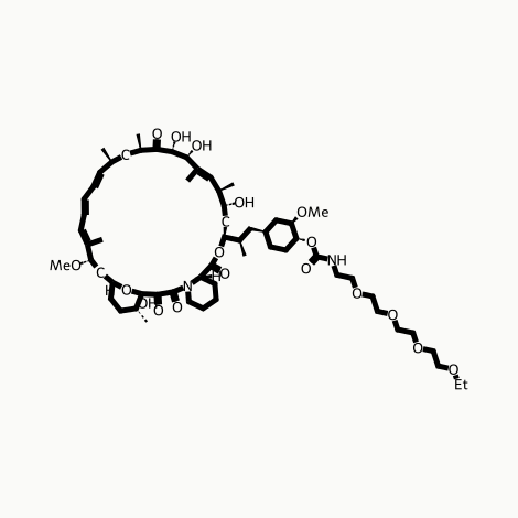 CCOCCOCCOCCOCCNC(=O)O[C@@H]1CC[C@@H](C[C@@H](C)[C@@H]2C[C@@H](O)[C@H](C)/C=C(\C)[C@@H](O)[C@@H](O)C(=O)[C@H](C)C[C@H](C)/C=C/C=C/C=C(\C)[C@@H](OC)C[C@@H]3CC[C@@H](C)[C@@](O)(O3)C(=O)C(=O)N3CCCC[C@H]3C(=O)O2)C[C@H]1OC